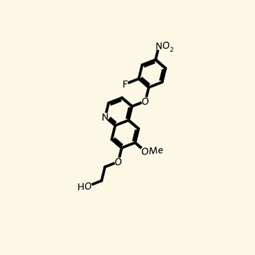 COc1cc2c(Oc3ccc([N+](=O)[O-])cc3F)ccnc2cc1OCCO